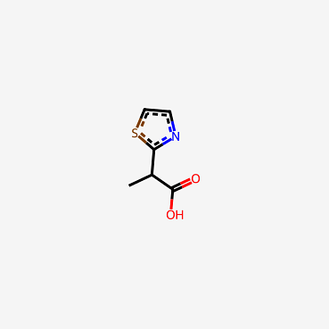 CC(C(=O)O)c1nccs1